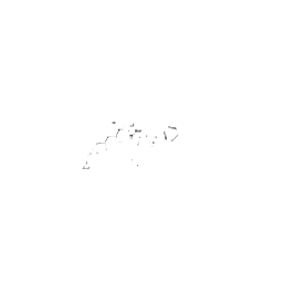 CC(C)(Sc1ccc(Cl)cc1)C(=O)N[C@@H]1C(=O)N2C(C(=O)O)=C(C=C3CCN(CC4CC4)C3=O)CS[C@H]12.[Na]